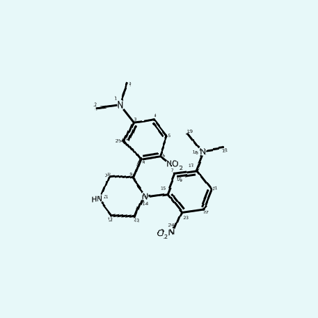 CN(C)c1ccc([N+](=O)[O-])c(C2CNCCN2c2cc(N(C)C)ccc2[N+](=O)[O-])c1